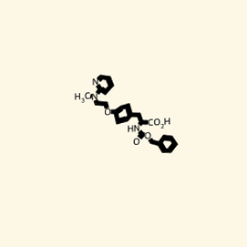 CN(CCOc1ccc(CC(NC(=O)OCc2ccccc2)C(=O)O)cc1)c1ccccn1